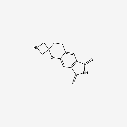 O=C1NC(=O)c2cc3c(cc21)CCC1(CNC1)O3